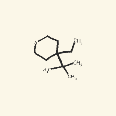 CCC1(C(C)(C)C)CCSCC1